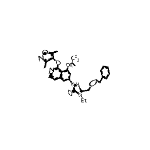 CCn1c(COCc2ccccc2)nn(-c2cc(O[C@@H](C)C(F)(F)F)c3c(Oc4c(C)noc4C)nccc3c2)c1=O